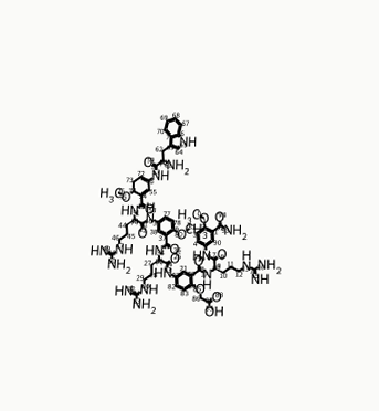 COc1ccc(NC(=O)[C@@H](CCCNC(=N)N)NC(=O)c2cc(NC(=O)[C@@H](CCCNC(=N)N)NC(=O)c3cc(NC(=O)[C@@H](CCCNC(=N)N)NC(=O)C4=CC(NC(=O)[C@H](N)Cc5c[nH]c6ccccc56)=CCC4OC)ccc3OC)ccc2OCC(=O)O)cc1C(N)=O